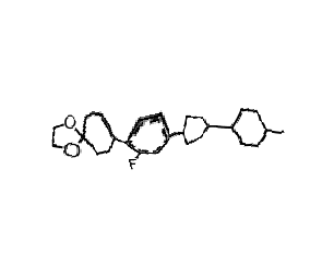 CC1CCC(C2CCC(c3ccc(C4=CCC5(CC4)OCCO5)c(F)c3)CC2)CC1